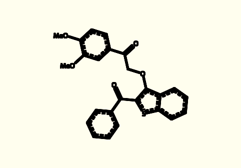 COc1ccc(C(=O)COc2c(C(=O)c3ccccc3)sc3ccccc23)cc1OC